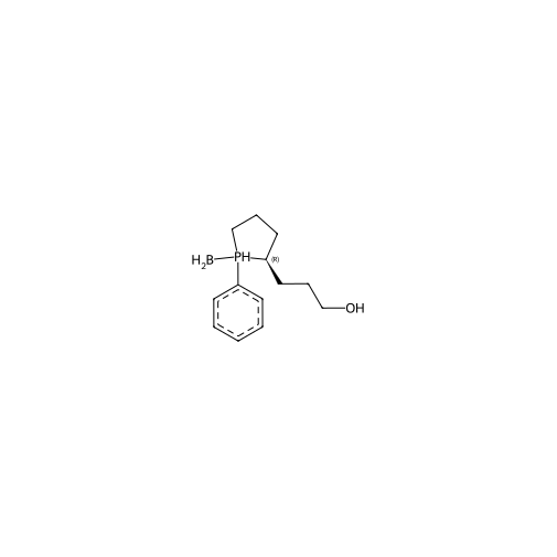 B[PH]1(c2ccccc2)CCC[C@H]1CCCO